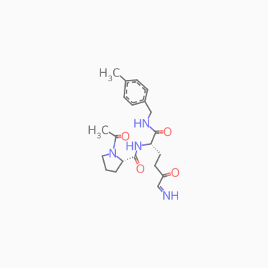 CC(=O)N1CCC[C@H]1C(=O)N[C@@H](CCC(=O)C=N)C(=O)NCc1ccc(C)cc1